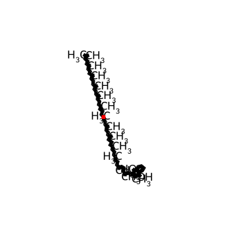 CC(C)=CCC/C(C)=C/CC/C(C)=C/CC/C(C)=C/CC/C(C)=C/CC/C(C)=C/CC/C(C)=C/CC/C(C)=C/CC/C(C)=C/CC/C(C)=C/CC/C(C)=C/CC/C(C)=C/CC/C(C)=C/Cc1c(C)c(O)c2ccccc2c1O